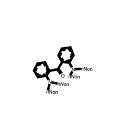 CCCCCCCCCN(CCCCCCCCC)c1ccccc1C(=O)c1ccccc1N(CCCCCCCCC)CCCCCCCCC